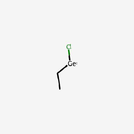 C[CH2][Ge][Cl]